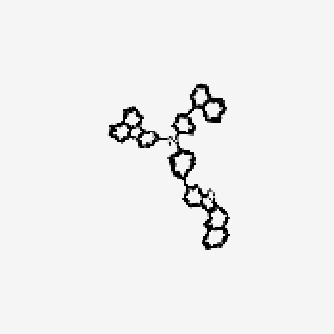 c1ccc2cc3c(cc2c1)oc1cc(-c2ccc(N(c4ccc(-c5cccc6ccccc56)cc4)c4ccc5c(c4)-c4cccc6cccc-5c46)cc2)ccc13